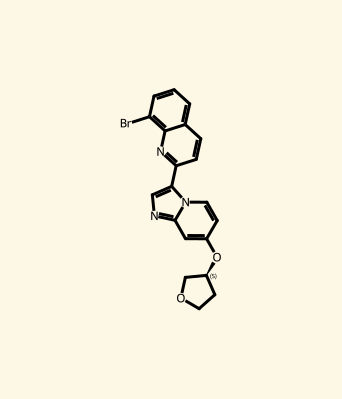 Brc1cccc2ccc(-c3cnc4cc(O[C@H]5CCOC5)ccn34)nc12